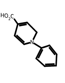 O=C(O)C1=CCN(c2ccccc2)C=C1